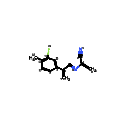 C=C(C#N)/N=C/C(=C)c1ccc(C)c(F)c1